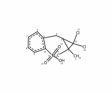 CC1(C)C(Cc2ccccc2S(=O)(=O)O)C1(Cl)Cl